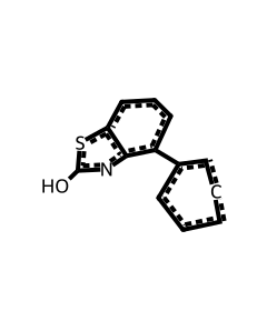 Oc1nc2c(-c3ccccc3)cccc2s1